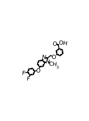 Cn1c(COc2cccc(C(=O)O)c2)nc2ccc(Oc3ccc(F)c(F)c3)cc21